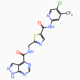 O=C(Nc1cc(C(F)(F)F)c(Cl)cn1)c1cnc(CNC(=O)c2ncnc3[nH]ncc23)s1